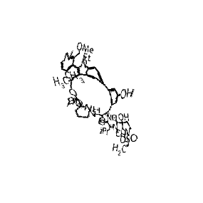 C=CS(=O)(=O)N1CCC(O)(C(=O)N(C)[C@H](C(=O)N[C@H]2Cc3cc(O)cc(c3)-c3ccc4c(c3)c(c(-c3cccnc3COC)n4CC)CC(C)(C)COC(=O)[C@@]3(O)CCCN(N3)C2=O)C(C)C)C1